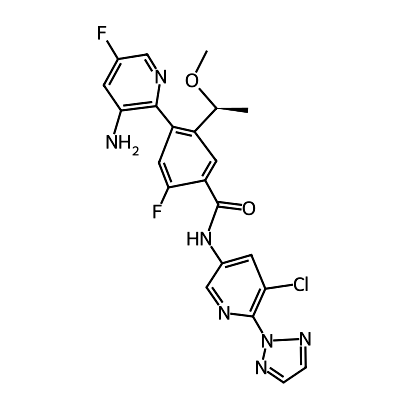 CO[C@@H](C)c1cc(C(=O)Nc2cnc(-n3nccn3)c(Cl)c2)c(F)cc1-c1ncc(F)cc1N